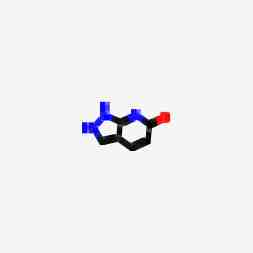 O=c1ccc2c[nH][nH]c-2n1